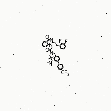 CN(C)CC(C)(C)CN(Cc1ccc(-c2ccc(C(F)(F)F)cc2)cc1)C(=O)Cn1c(CCc2cccc(F)c2F)nc(=O)c2ccccc21